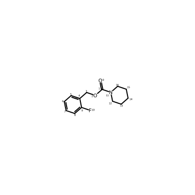 O=C(OCc1ccccc1F)N1CCCCC1